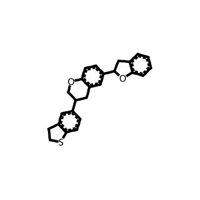 c1ccc2c(c1)CC(c1ccc3c(c1)CC(c1ccc4c(c1)CCS4)CO3)O2